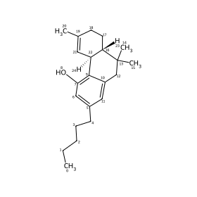 CCCCCc1cc(O)c2c(c1)CC(C)(C)[C@H]1CCC(C)=C[C@H]21